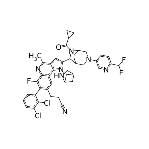 Cc1nc2c(F)c(-c3cccc(Cl)c3Cl)c(CCC#N)cc2c2c1cc(C1C3CC(CN(c4ccc(C(F)F)nc4)C3)N1C(=O)C1CC1)n2C1C2CNC1C2